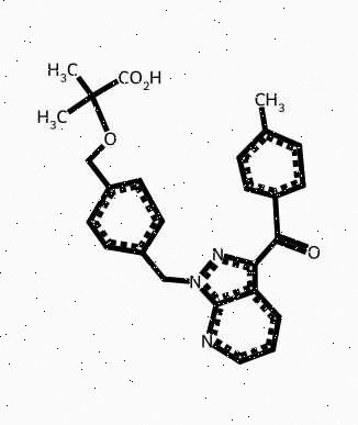 Cc1ccc(C(=O)c2nn(Cc3ccc(COC(C)(C)C(=O)O)cc3)c3ncccc23)cc1